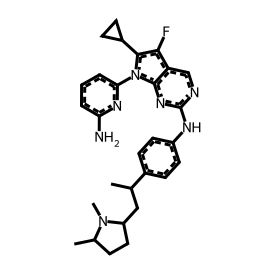 CC(CC1CCC(C)N1C)c1ccc(Nc2ncc3c(F)c(C4CC4)n(-c4cccc(N)n4)c3n2)cc1